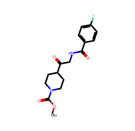 CC(C)(C)OC(=O)N1CCC(C(=O)CNC(=O)c2ccc(F)cc2)CC1